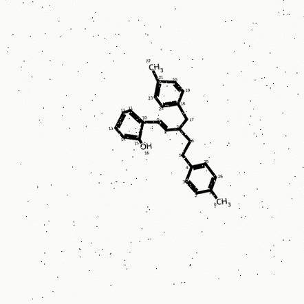 Cc1ccc(CCC(/C=C/c2ccccc2O)Cc2ccc(C)cc2)cc1